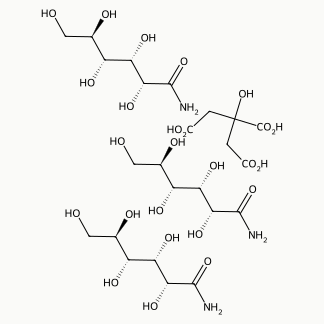 NC(=O)[C@H](O)[C@@H](O)[C@H](O)[C@H](O)CO.NC(=O)[C@H](O)[C@@H](O)[C@H](O)[C@H](O)CO.NC(=O)[C@H](O)[C@@H](O)[C@H](O)[C@H](O)CO.O=C(O)CC(O)(CC(=O)O)C(=O)O